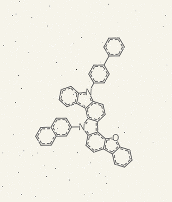 c1ccc(-c2ccc(-n3c4ccccc4c4c3ccc3c5c6oc7ccccc7c6ccc5n(-c5ccc6ccccc6c5)c34)cc2)cc1